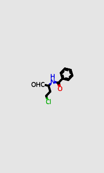 O=CC(CCCl)NC(=O)c1ccccc1